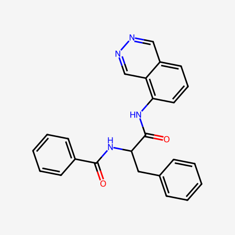 O=C(NC(Cc1ccccc1)C(=O)Nc1cccc2cnncc12)c1ccccc1